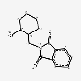 O=C1c2ccccc2C(=O)N1CC1CCCCC1O